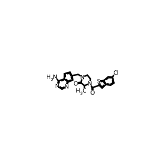 CC1C(=O)N(Cc2ccc3c(N)ncnc3c2)CCN1C(=O)c1cc2ccc(Cl)cc2s1